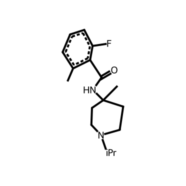 Cc1cccc(F)c1C(=O)NC1(C)CCN(C(C)C)CC1